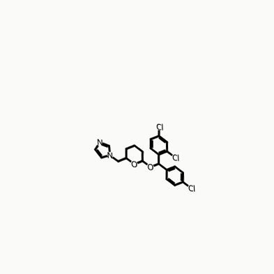 Clc1ccc(C(OC2CCCC(Cn3ccnc3)O2)c2ccc(Cl)cc2Cl)cc1